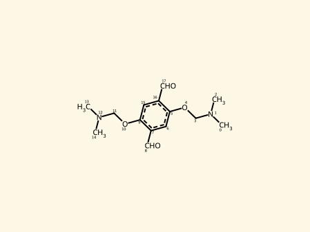 CN(C)COc1cc(C=O)c(OCN(C)C)cc1C=O